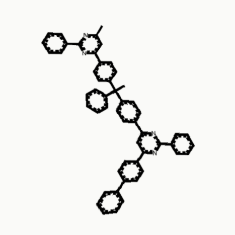 Cc1cc(-c2ccc(C(C)(c3ccccc3)c3ccc(-c4cc(-c5ccc(-c6ccccc6)cc5)nc(-c5ccccc5)n4)cc3)cc2)nc(-c2ccccc2)n1